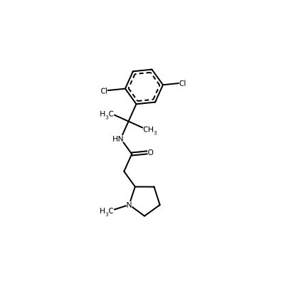 CN1CCCC1CC(=O)NC(C)(C)c1cc(Cl)ccc1Cl